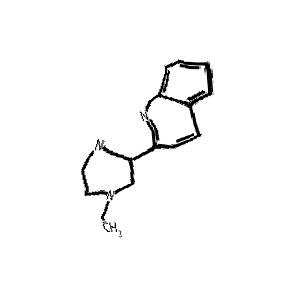 CN1CC[N]C(c2ccc3ccccc3n2)C1